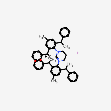 Cc1cc(C(C)c2ccccc2)c(N2C=[N+](c3c(C(C)c4ccccc4)cc(C)cc3C(C)c3ccccc3)CCC2)c(C(C)c2ccccc2)c1.[I-]